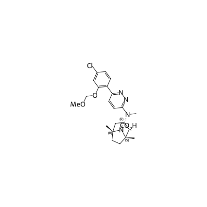 COCOc1cc(Cl)ccc1-c1ccc(N(C)[C@@H]2C[C@]3(C)CC[C@](C)(C2)N3C(=O)O)nn1